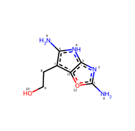 Nc1nc2[nH]c(N)c(CCO)c2o1